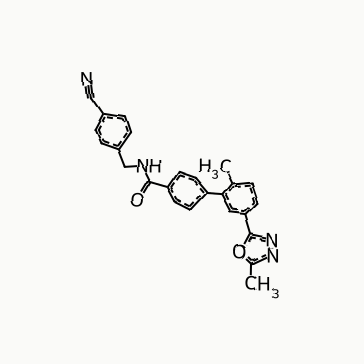 Cc1nnc(-c2ccc(C)c(-c3ccc(C(=O)NCc4ccc(C#N)cc4)cc3)c2)o1